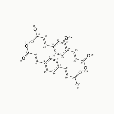 O=C([O-])C=Cc1ccc(C=CC(=O)[O-])cc1.O=C([O-])C=Cc1ccc(C=CC(=O)[O-])cc1.[Zr+4]